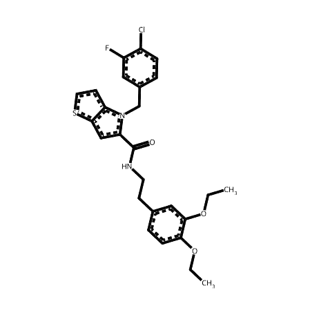 CCOc1ccc(CCNC(=O)c2cc3sccc3n2Cc2ccc(Cl)c(F)c2)cc1OCC